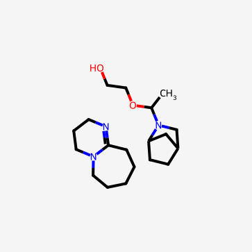 C1CCC2=NCCCN2CC1.CC(OCCO)N1CC2CCC1C2